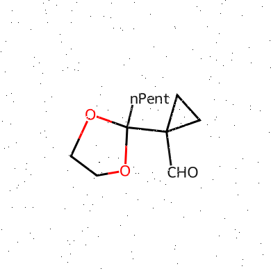 CCCCCC1(C2(C=O)CC2)OCCO1